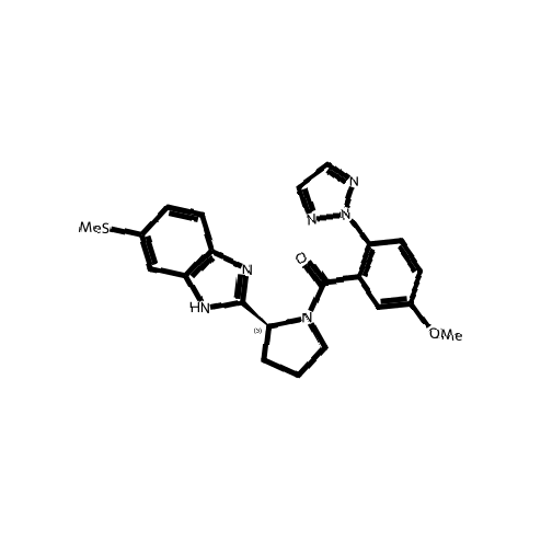 COc1ccc(-n2nccn2)c(C(=O)N2CCC[C@H]2c2nc3ccc(SC)cc3[nH]2)c1